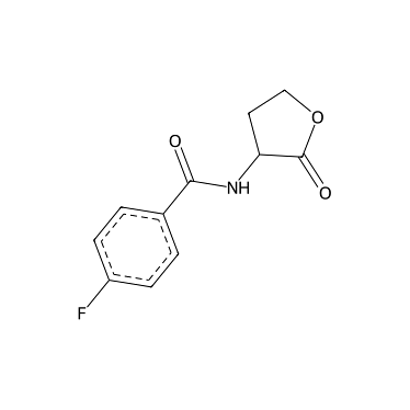 O=C(NC1CCOC1=O)c1ccc(F)cc1